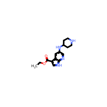 CCOC(=O)c1c[nH]c2ncc(NC3CCNCC3)cc12